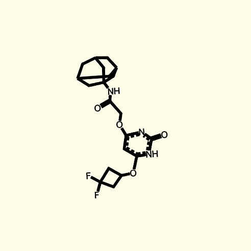 O=C(COc1cc(OC2CC(F)(F)C2)[nH]c(=O)n1)NC12CC3CC(CC(C3)C1)C2